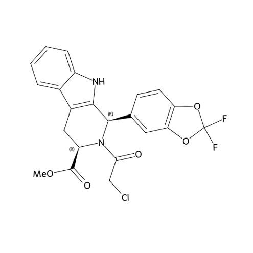 COC(=O)[C@H]1Cc2c([nH]c3ccccc23)[C@@H](c2ccc3c(c2)OC(F)(F)O3)N1C(=O)CCl